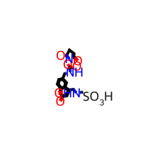 O=C(NCc1ccc2oc(=O)cc(CNCS(=O)(=O)O)c2c1)ON1C(=O)CCC1=O